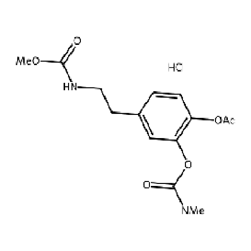 CNC(=O)Oc1cc(CCNC(=O)OC)ccc1OC(C)=O.Cl